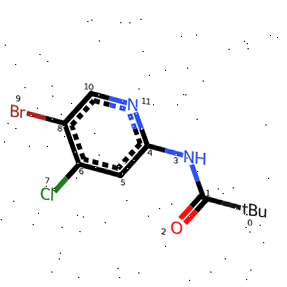 CC(C)(C)C(=O)Nc1cc(Cl)c(Br)cn1